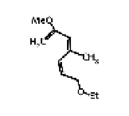 C=C(/C=C(C)\C=C/COCC)OC